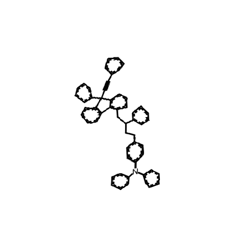 C(#CC1(c2ccccc2)c2ccccc2-c2c(CC(CCc3ccc(N(c4ccccc4)c4ccccc4)cc3)c3ccccc3)cccc21)c1ccccc1